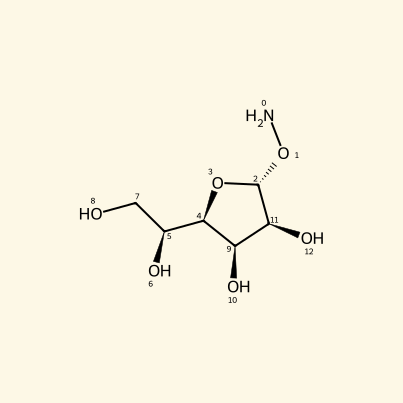 NO[C@H]1O[C@H]([C@@H](O)CO)[C@H](O)[C@@H]1O